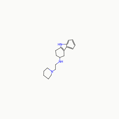 c1ccc2c3c([nH]c2c1)CCC(NCCN1CCCCC1)C3